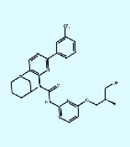 C[C@H](CO)COc1ccnc(NC(=O)N2c3nc(-c4cccc(C(F)(F)F)c4)ncc3N3CCCC2C3)n1